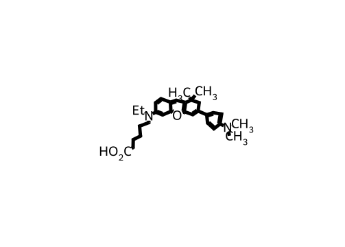 CCN(CCCCCC(=O)O)c1ccc2cc3c([o+]c2c1)C=C(c1ccc(N(C)C)cc1)CC3(C)C